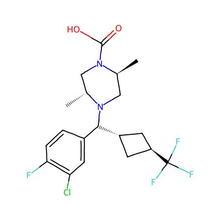 C[C@@H]1CN(C(=O)O)[C@@H](C)CN1C(c1ccc(F)c(Cl)c1)[C@H]1C[C@H](C(F)(F)F)C1